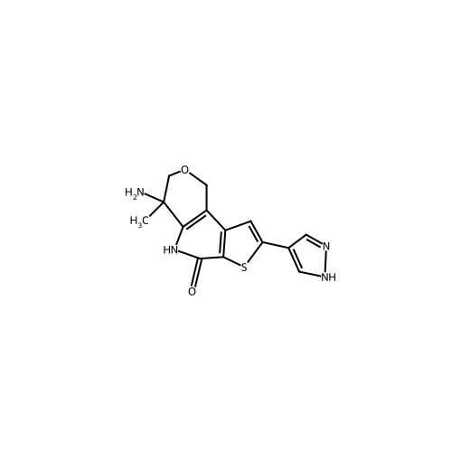 CC1(N)COCc2c1[nH]c(=O)c1sc(-c3cn[nH]c3)cc21